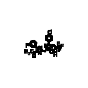 CC(=O)c1nc(Cn2nc(-c3ccc(Cl)cc3)n(C[C@H](O)C(F)(F)F)c2=O)nn1-c1cccc(F)c1